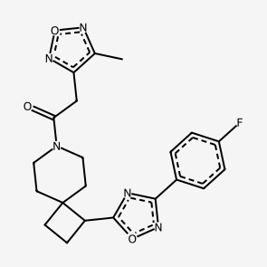 Cc1nonc1CC(=O)N1CCC2(CCC2c2nc(-c3ccc(F)cc3)no2)CC1